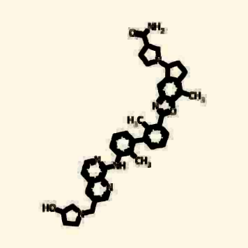 Cc1c(Nc2nccc3cc(CN4CCC(O)C4)cnc23)cccc1-c1cccc(-c2nc3cc4c(c(C)c3o2)CCC4N2CCC(C(N)=O)C2)c1C